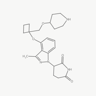 Cc1nn(C2CCC(=O)NC2=O)c2cccc(OC3(COC4CCNCC4)CCC3)c12